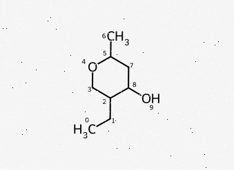 CCC1COC(C)CC1O